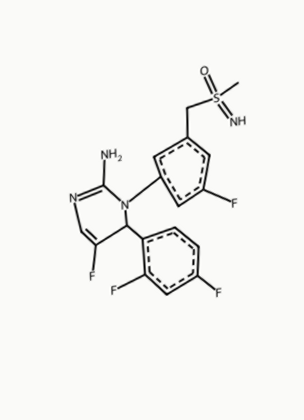 CS(=N)(=O)Cc1cc(F)cc(N2C(N)=NC=C(F)C2c2ccc(F)cc2F)c1